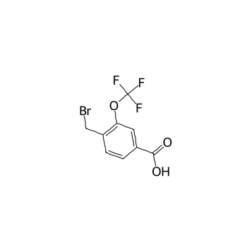 O=C(O)c1ccc(CBr)c(OC(F)(F)F)c1